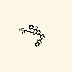 C[C@@]1(c2nc3ccccc3s2)CC(c2ccc3c(=O)n(-c4ccc(F)cc4)c(CCCCC(=O)O)nc3c2)=NO1